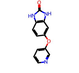 O=c1[nH]c2ccc(Oc3cccnc3)cc2[nH]1